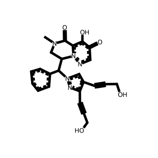 CN1CC(C(c2ccccc2)n2cc(C#CCO)c(C#CCO)n2)n2ncc(=O)c(O)c2C1=O